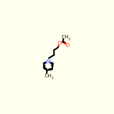 CC(=O)OCCCC[n+]1ccc(C)cc1